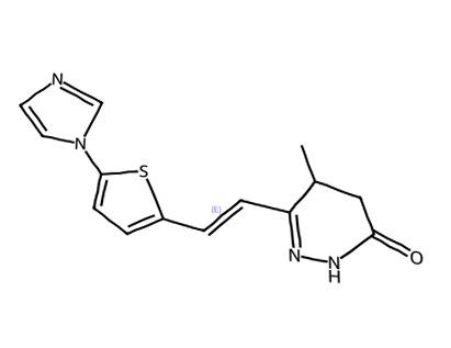 CC1CC(=O)NN=C1/C=C/c1ccc(-n2ccnc2)s1